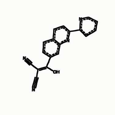 N#CC(C#N)=C(O)c1ccc2ccc(-c3ccccn3)nc2c1